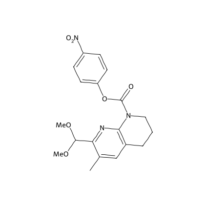 COC(OC)c1nc2c(cc1C)CCCN2C(=O)Oc1ccc([N+](=O)[O-])cc1